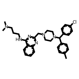 Cc1ccc(C(c2ccc(Cl)cc2)N2CCN(Cc3nc(NCCCN(C)C)c4ccccc4n3)CC2)cc1